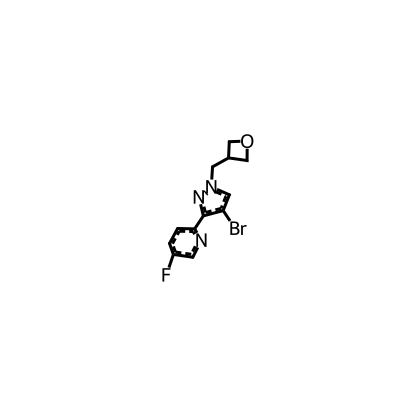 Fc1ccc(-c2nn(CC3COC3)cc2Br)nc1